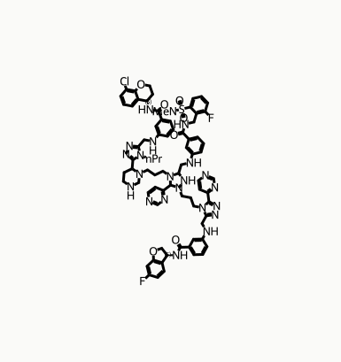 CCCn1c(CNc2cccc(C(=O)N[C@H]3CCOc4c(Cl)cccc43)c2)nnc1C1CCNCN1CCCN1C(CNc2cccc(C(=O)NCc3c(F)cccc3S(=O)(=O)NC)c2)NN(CCCn2c(CNc3cccc(C(=O)N[C@@H]4COc5cc(F)ccc54)c3)nnc2-c2ccncn2)C1c1ccncn1